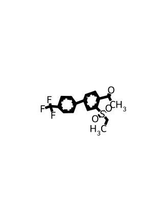 CCS(=O)(=O)c1cc(-c2ccc(C(F)(F)F)cc2)ccc1C(C)=O